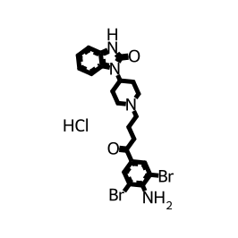 Cl.Nc1c(Br)cc(C(=O)CCCN2CCC(n3c(=O)[nH]c4ccccc43)CC2)cc1Br